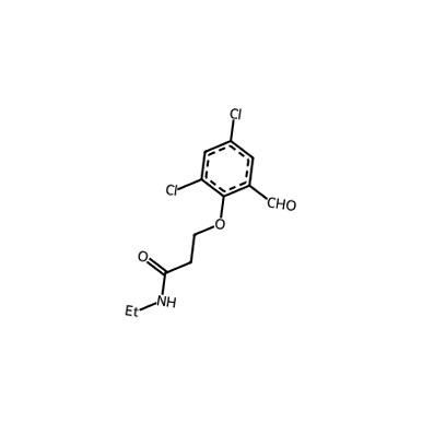 CCNC(=O)CCOc1c(Cl)cc(Cl)cc1C=O